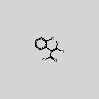 O=C(Cl)C(=C(Cl)Cl)c1ccccc1Cl